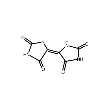 O=C1NC(=O)C(=C2NC(=O)NC2=O)N1